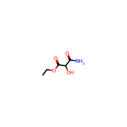 CCOC(=O)C(O)C(N)=O